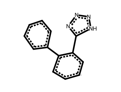 [c]1ccc(-c2ccccc2)c(-c2nnn[nH]2)c1